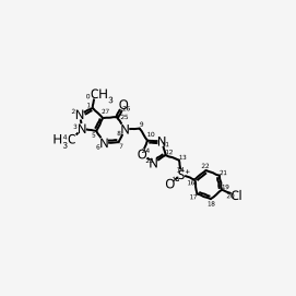 Cc1nn(C)c2ncn(Cc3nc(C[S+]([O-])c4ccc(Cl)cc4)no3)c(=O)c12